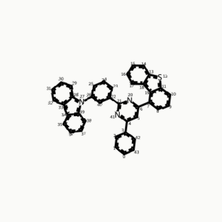 c1ccc(-c2cc(-c3cccc4sc5ccccc5c34)nc(-c3cccc(-n4c5ccccc5c5ccccc54)c3)n2)cc1